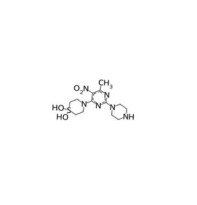 Cc1nc(N2CCNCC2)nc(N2CCS(O)(O)CC2)c1[N+](=O)[O-]